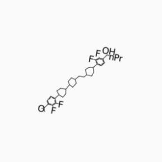 CCCC(O)c1ccc(C2CCC(CCC3CCC(C4CCC(c5ccc(C6CO6)c(F)c5F)CC4)CC3)CC2)c(F)c1F